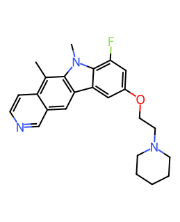 Cc1c2ccncc2cc2c3cc(OCCN4CCCCC4)cc(F)c3n(C)c12